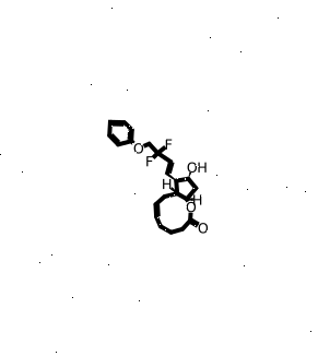 O=C1CCCC=CC[C@@H]2[C@@H](C=CC(F)(F)COc3ccccc3)[C@H](O)C[C@@H]2O1